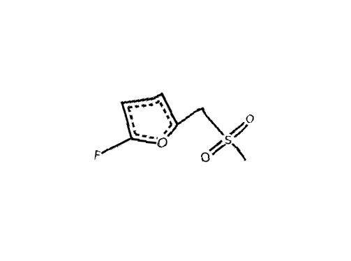 CS(=O)(=O)Cc1ccc(F)o1